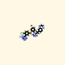 CC(C)(c1ccc2nccnc2c1)c1nnc(SCc2ccc(Cl)c(-c3nnn[nH]3)c2)n1-c1ccc(F)cc1